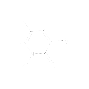 Cc1cc(C(C)C)c(=O)n(C(C)C)n1